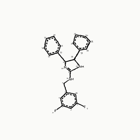 Fc1cc(F)cc(CNC2=NC(c3ccccc3)C(c3ccccc3)N2)c1